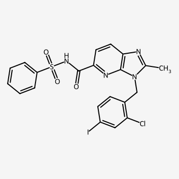 Cc1nc2ccc(C(=O)NS(=O)(=O)c3ccccc3)nc2n1Cc1ccc(I)cc1Cl